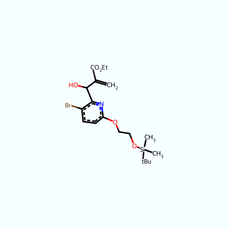 C=C(C(=O)OCC)C(O)c1nc(OCCO[Si](C)(C)C(C)(C)C)ccc1Br